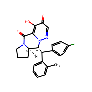 Cc1ccccc1C(c1ccc(F)cc1)[C@@H]1[C@H]2CCCN2C(=O)c2c(O)c(=O)cnn21